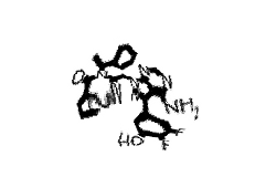 CC(c1ccccc1)n1c(Cn2nc(-c3cc(O)c(F)c(F)c3)c3c(N)ncnc32)nn2cccc2c1=O